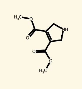 COC(=O)C1=C(C(=O)OC)CNC1